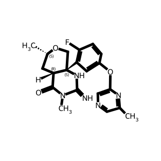 Cc1cncc(Oc2ccc(F)c([C@]34CO[C@@H](C)C[C@H]3C(=O)N(C)C(=N)N4)c2)n1